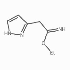 CCOC(=N)Cc1cc[nH]n1